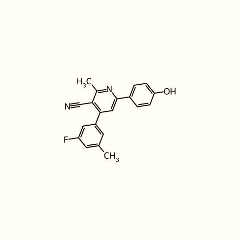 Cc1cc(F)cc(-c2cc(-c3ccc(O)cc3)nc(C)c2C#N)c1